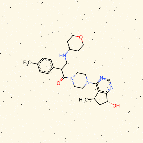 C[C@@H]1C[C@@H](O)c2ncnc(N3CCN(C(=O)C(CNC4CCOCC4)c4ccc(C(F)(F)F)cc4)CC3)c21